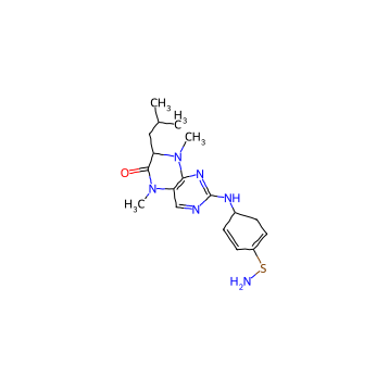 CC(C)CC1C(=O)N(C)c2cnc(NC3C=CC(SN)=CC3)nc2N1C